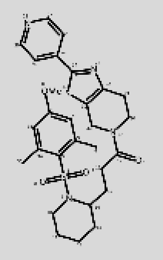 COc1cc(C)c(S(=O)(=O)N2CCCCC2CCC(=O)N2CCc3nc(-c4ccncc4)sc3C2)c(C)c1